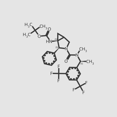 C[C@@H](c1cc(C(F)(F)F)cc(C(F)(F)F)c1)N(C)C(=O)N1CC2C[C@@]2(NC(=O)OC(C)(C)C)[C@@H]1c1ccccc1